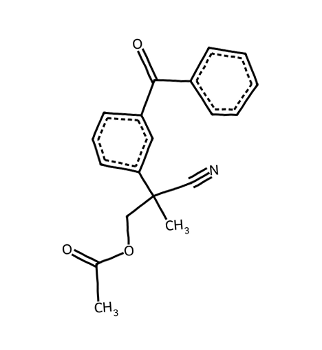 CC(=O)OCC(C)(C#N)c1cccc(C(=O)c2ccccc2)c1